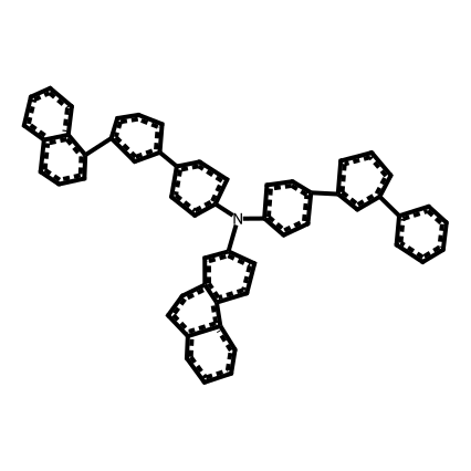 c1ccc(-c2cccc(-c3ccc(N(c4ccc(-c5cccc(-c6cccc7ccccc67)c5)cc4)c4ccc5c(ccc6ccccc65)c4)cc3)c2)cc1